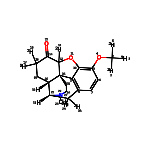 [2H]C([2H])([2H])Oc1ccc2c3c1OC1([2H])C(=O)C([2H])([2H])C[C@H]4[C@H](N(C)CC[C@@]341)C2([2H])[2H]